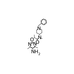 Cc1nc(OC(C)C(=O)N(C)C2CCN(Cc3ccccc3)CC2)nc(C)c1N